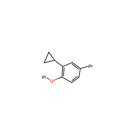 [CH2]C(C)c1ccc(OC(C)C)c(C2CC2)c1